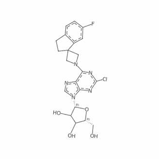 OC[C@H]1O[C@@H](n2cnc3c(N4CC5(CCc6ccc(F)cc65)C4)nc(Cl)nc32)C(O)C1O